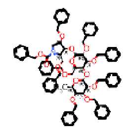 C[C@H]1O[C@H](O[C@H]2[C@H](OCc3ccccc3)[C@@H](OCc3ccccc3)[C@@H](O[C@@H]3[C@@H](COCc4ccccc4)N(C(=O)OCc4ccccc4)C[C@H]3OCc3ccccc3)O[C@@H]2COCc2ccccc2)[C@H](OCc2ccccc2)[C@@H](OCc2ccccc2)[C@@H]1OCc1ccccc1